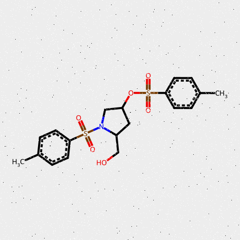 Cc1ccc(S(=O)(=O)OC2CC(CO)N(S(=O)(=O)c3ccc(C)cc3)C2)cc1